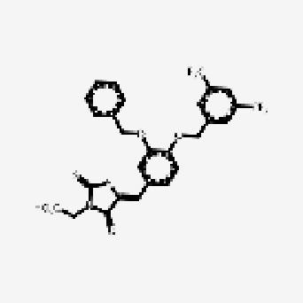 O=C(O)CN1C(=O)C(=Cc2ccc(OCc3cc(C(F)(F)F)cc(C(F)(F)F)c3)c(OCc3ccccc3)c2)SC1=S